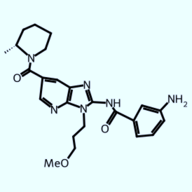 COCCCn1c(NC(=O)c2cccc(N)c2)nc2cc(C(=O)N3CCCC[C@H]3C)cnc21